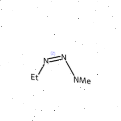 CC/N=N\NC